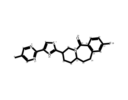 Cc1cnc(-c2csc(C3CCC4CCc5cc(F)ccc5C(=O)N4C3)n2)nc1